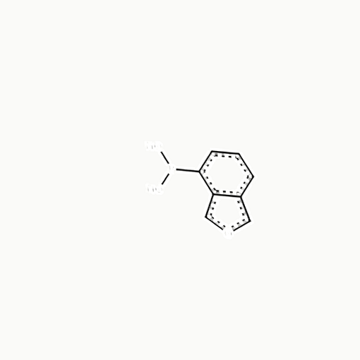 OB(O)c1cccc2cocc12